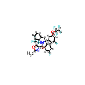 Cc1nc(C(=O)NC(Cc2ccccc2)(c2ccc(F)cc2)c2cc(F)cc(OC(F)(F)C(F)F)c2)c(C(F)(F)F)o1